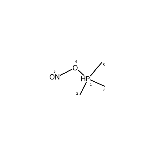 C[PH](C)(C)ON=O